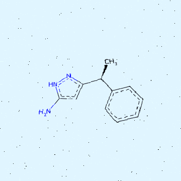 C[C@@H](c1ccccc1)c1cc(N)[nH]n1